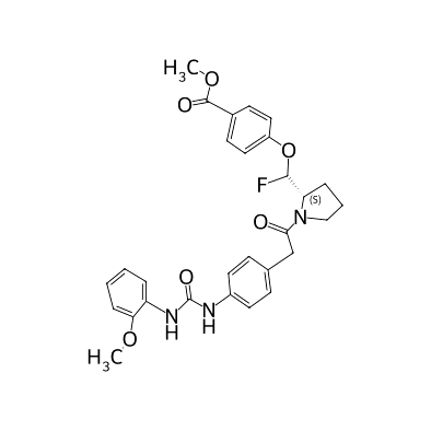 COC(=O)c1ccc(OC(F)[C@@H]2CCCN2C(=O)Cc2ccc(NC(=O)Nc3ccccc3OC)cc2)cc1